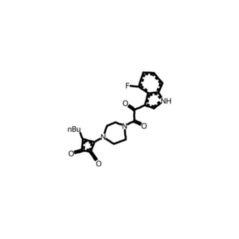 CCCCc1c(N2CCN(C(=O)C(=O)c3c[nH]c4cccc(F)c34)CC2)c(=O)c1=O